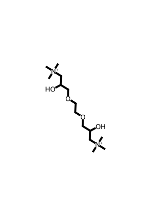 C[N+](C)(C)CC(O)COCCOCC(O)C[N+](C)(C)C